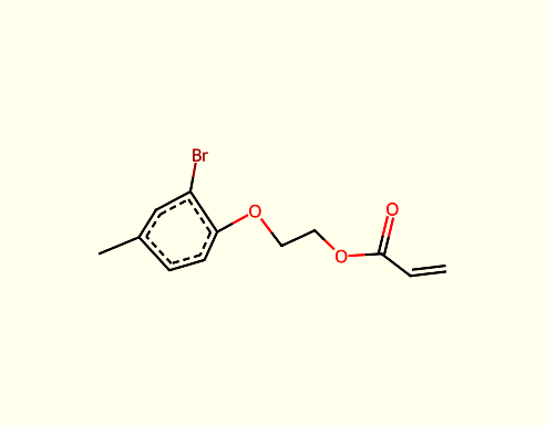 C=CC(=O)OCCOc1ccc(C)cc1Br